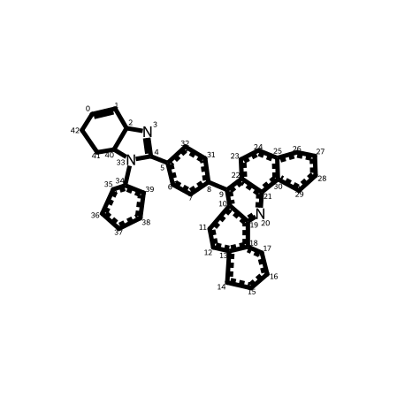 C1=CC2N=C(c3ccc(-c4c5ccc6ccccc6c5nc5c4ccc4ccccc45)cc3)N(c3ccccc3)C2CC1